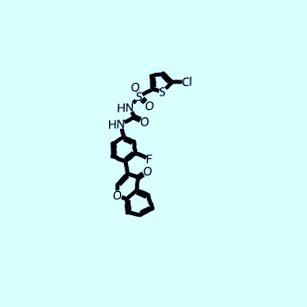 O=C(Nc1ccc(-c2coc3ccccc3c2=O)c(F)c1)NS(=O)(=O)c1ccc(Cl)s1